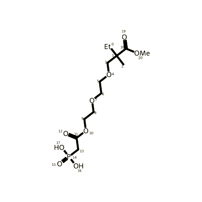 CCC(C)(COCCOCCOC(=O)CP(=O)(O)O)C(=O)OC